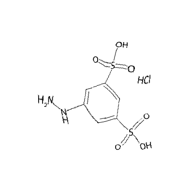 Cl.NNc1cc(S(=O)(=O)O)cc(S(=O)(=O)O)c1